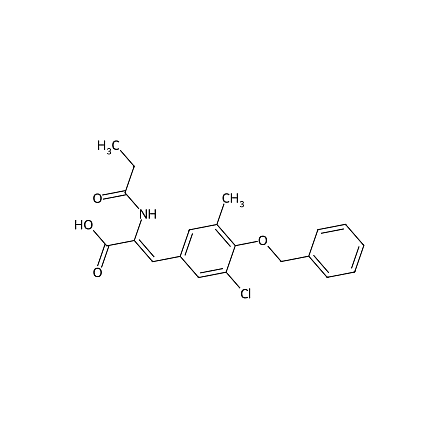 CCC(=O)NC(=Cc1cc(C)c(OCc2ccccc2)c(Cl)c1)C(=O)O